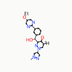 [2H]c1cn(-c2cnn(C)c2)nc(C(O)c2cccc(-c3ncc(OCC)cn3)c2)c1=O